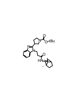 CC(C)(C)OC(=O)N1CCC(c2nc3ccccc3n2CCC(=O)NC2CC3CC[C@]2(C)C3(C)C)C1